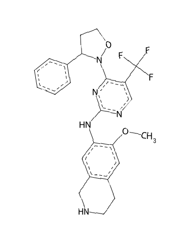 COc1cc2c(cc1Nc1ncc(C(F)(F)F)c(N3OCCC3c3ccccc3)n1)CNCC2